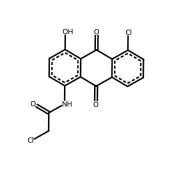 O=C(CCl)Nc1ccc(O)c2c1C(=O)c1cccc(Cl)c1C2=O